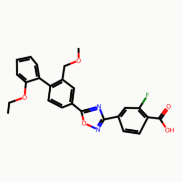 CCOc1ccccc1-c1ccc(-c2nc(-c3ccc(C(=O)O)c(F)c3)no2)cc1COC